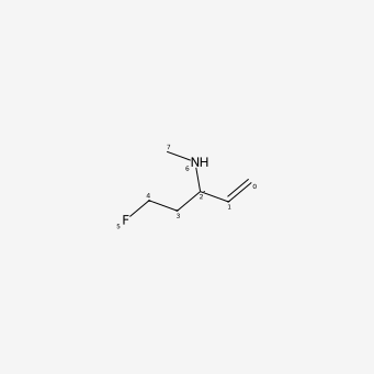 C=C[C](CCF)NC